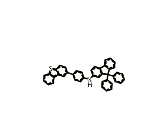 c1ccc(C2(c3ccccc3)c3ccccc3-c3ccc(Nc4ccc(-c5ccc6sc7ccccc7c6c5)cc4)cc32)cc1